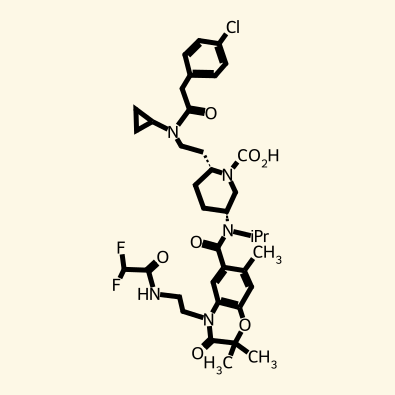 Cc1cc2c(cc1C(=O)N(C(C)C)[C@@H]1CC[C@H](CCN(C(=O)Cc3ccc(Cl)cc3)C3CC3)N(C(=O)O)C1)N(CCNC(=O)C(F)F)C(=O)C(C)(C)O2